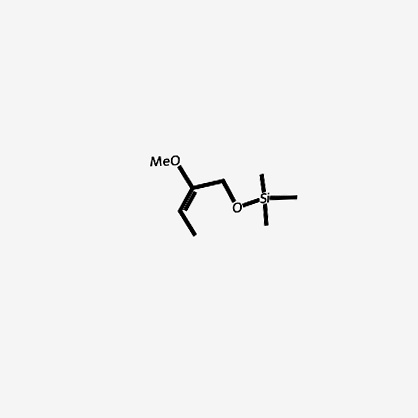 CC=C(CO[Si](C)(C)C)OC